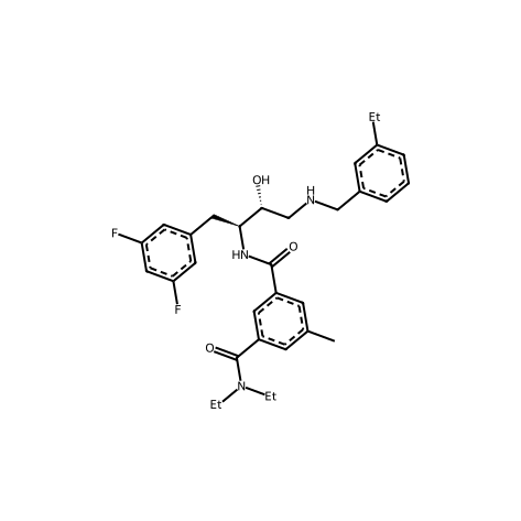 CCc1cccc(CNC[C@@H](O)[C@H](Cc2cc(F)cc(F)c2)NC(=O)c2cc(C)cc(C(=O)N(CC)CC)c2)c1